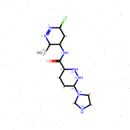 O=C(NC1CC(Cl)N=NC1C(=O)O)C1CCC(N2CCNC2)NN1